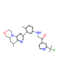 Cc1ccc(NCC(=O)c2ccnc(C(C)(C)F)c2)cc1-c1cnc2c(c1)N1CCOCC1CC2C